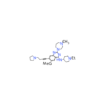 CCN1CCC(Nc2nc(N3CCCN(C)CC3)nc3cc(C#CCCN4CCCC4)c(OC)cc23)CC1